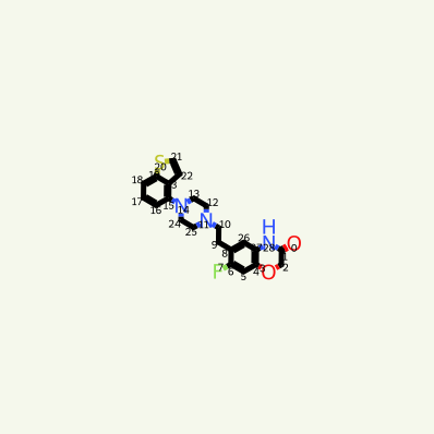 O=C1COc2cc(F)c(CCN3CCN(c4cccc5sccc45)CC3)cc2N1